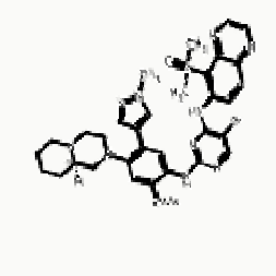 COc1cc(N2CCN3CCCC[C@@H]3C2)c(-c2cnn(C)c2)cc1Nc1ncc(Br)c(Nc2ccc3nccnc3c2P(C)(C)=O)n1